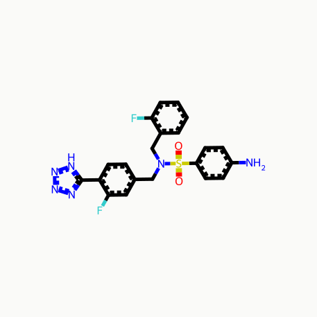 Nc1ccc(S(=O)(=O)N(Cc2ccc(-c3nnn[nH]3)c(F)c2)Cc2ccccc2F)cc1